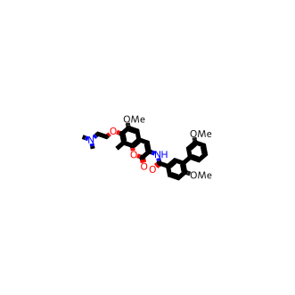 COc1cccc(-c2cc(C(=O)Nc3cc4cc(OC)c(OCCN(C)C)c(C)c4oc3=O)ccc2OC)c1